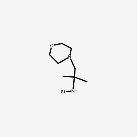 CCNC(C)(C)CN1CCOCC1